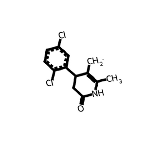 [CH2]C1=C(C)NC(=O)CC1c1cc(Cl)ccc1Cl